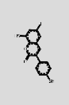 O=c1oc2c(S)cc(I)cc2cc1-c1ccc(S)cc1